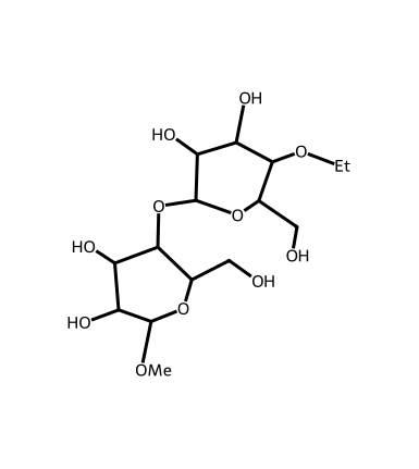 CCOC1C(CO)OC(OC2C(CO)OC(OC)C(O)C2O)C(O)C1O